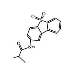 CC(C)C(=O)Nc1ccc2c(c1)-c1ccccc1S2(=O)=O